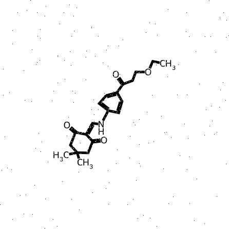 CCOCCC(=O)c1ccc(NC=C2C(=O)CC(C)(C)CC2=O)cc1